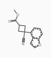 COC(=O)C1CC(C#N)(c2cccc3occc23)C1